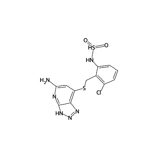 Nc1cc(SCc2c(Cl)cccc2N[SH](=O)=O)c2nn[nH]c2n1